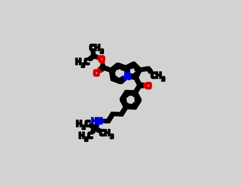 CCc1cc2cc(C(=O)OC(C)C)ccn2c1C(=O)c1ccc(CCCNC(C)(C)C)cc1